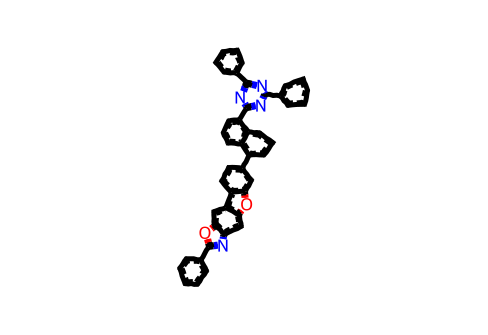 c1ccc(-c2nc(-c3ccccc3)nc(-c3cccc4c(-c5ccc6c(c5)oc5cc7nc(-c8ccccc8)oc7cc56)cccc34)n2)cc1